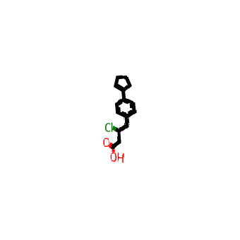 O=C(O)CC(Cl)Cc1ccc(C2=CCCC2)cc1